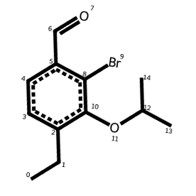 CCc1ccc(C=O)c(Br)c1OC(C)C